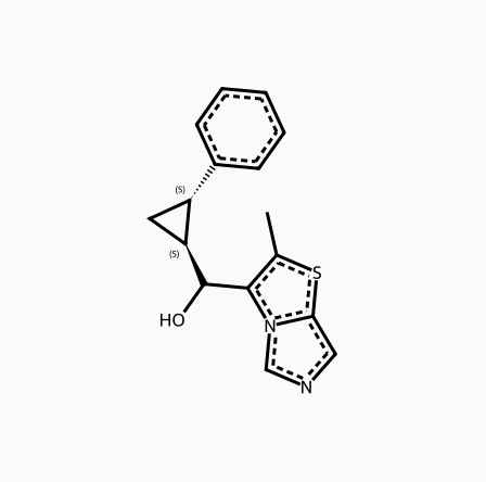 Cc1sc2cncn2c1C(O)[C@H]1C[C@@H]1c1ccccc1